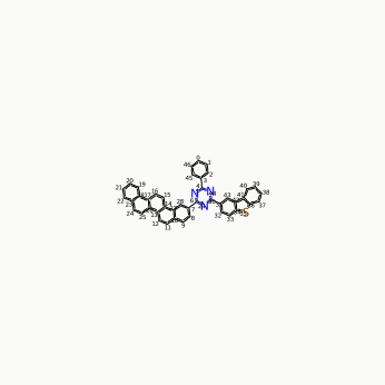 c1ccc(-c2nc(-c3ccc4ccc5c(ccc6c7ccccc7ccc65)c4c3)nc(-c3ccc4sc5ccccc5c4c3)n2)cc1